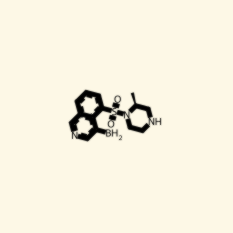 Bc1cncc2cccc(S(=O)(=O)N3CCNC[C@@H]3C)c12